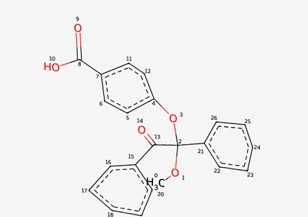 COC(Oc1ccc(C(=O)O)cc1)(C(=O)c1ccccc1)c1ccccc1